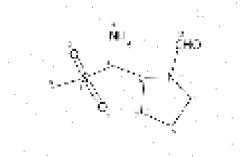 CS(=O)(=O)C(N)C1CCCN1C=O